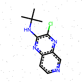 CC(C)(C)Nc1nc2ccncc2nc1Cl